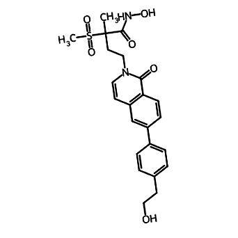 CC(CCn1ccc2cc(-c3ccc(CCO)cc3)ccc2c1=O)(C(=O)NO)S(C)(=O)=O